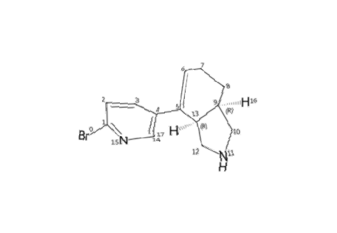 Brc1ccc(C2=CCC[C@H]3CNC[C@@H]23)cn1